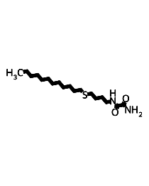 CCCCCCCCCCCCSCCCCNC(=O)C(N)=O